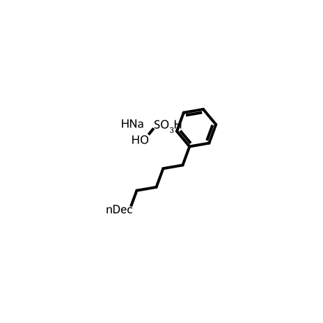 CCCCCCCCCCCCCCc1ccccc1.O=S(=O)(O)O.[NaH]